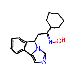 ON=C(CC1c2ccccc2-c2cncn21)C1CCCCC1